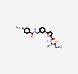 CNC(=O)[C@@H](NC(=O)c1ccc(-c2cccc(CNC(=O)c3ccc(OC)cc3)c2)o1)C(C)C